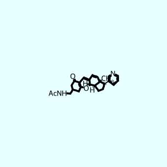 CC(=O)NCC1CC(=O)C2=C(C1)O[C@@H]1C(=C2)C=C[C@]2(C)[C@@H](c3cccnc3)CC[C@@H]12